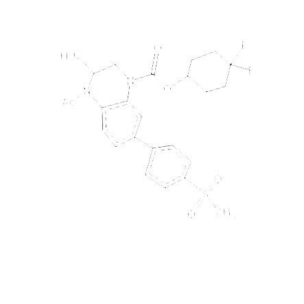 CC(=O)N1c2ccc(-c3ccc(S(C)(=O)=O)cc3)cc2N(C(=O)OC2CCC(F)(F)CC2)CC1C